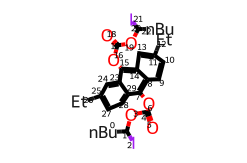 CCCCC(I)OC(=O)Oc1c2ccc(CC)cc2c(OC(=O)OC(I)CCCC)c2cc(CC)ccc12